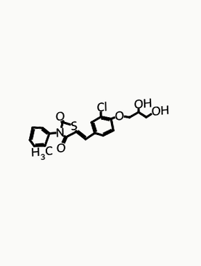 Cc1ccccc1N1C(=O)S/C(=C\c2ccc(OCC(O)CO)c(Cl)c2)C1=O